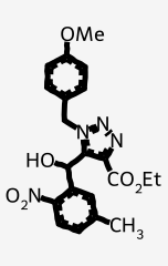 CCOC(=O)c1nnn(Cc2ccc(OC)cc2)c1C(O)c1cc(C)ccc1[N+](=O)[O-]